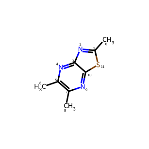 Cc1nc2nc(C)c(C)nc2s1